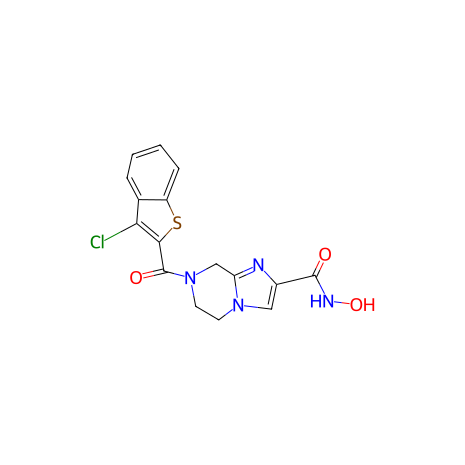 O=C(NO)c1cn2c(n1)CN(C(=O)c1sc3ccccc3c1Cl)CC2